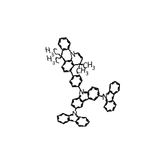 CC1(C)C=CN2c3ccccc3C(C)(C)c3ccc(-c4ccc(-n5c6ccc(-n7c8ccccc8c8ccccc87)cc6c6cc(-n7c8ccccc8c8ccccc87)ccc65)cc4)c1c32